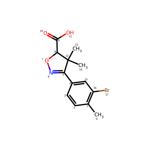 Cc1ccc(C2=NOC(C(=O)O)C2(C)C)cc1Br